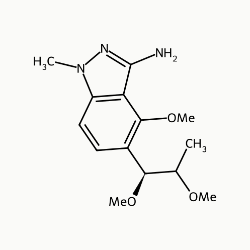 COc1c([C@H](OC)C(C)OC)ccc2c1c(N)nn2C